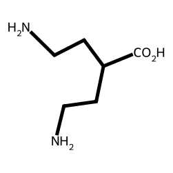 NCCC(CCN)C(=O)O